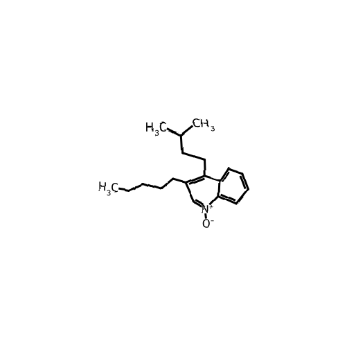 CCCCCc1c[n+]([O-])c2ccccc2c1CCC(C)C